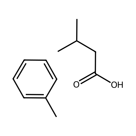 CC(C)CC(=O)O.Cc1ccccc1